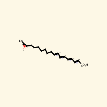 CCC1OC1CCCCCCC/C=C/C=C/C=C/C=C/C(=O)O